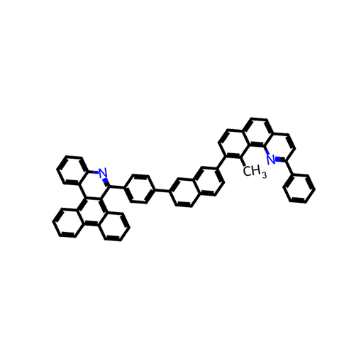 Cc1c(-c2ccc3ccc(-c4ccc(-c5nc6ccccc6c6c7ccccc7c7ccccc7c56)cc4)cc3c2)ccc2ccc3ccc(-c4ccccc4)nc3c12